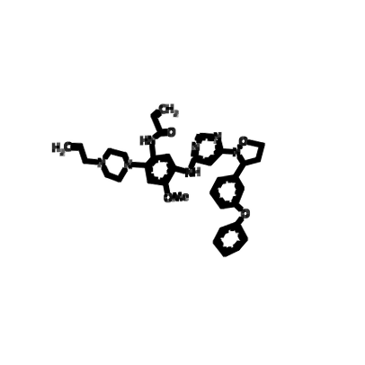 C=CCN1CCN(c2cc(OC)c(Nc3cc(N4OCCC4c4cccc(Oc5ccccc5)c4)ncn3)cc2NC(=O)C=C)CC1